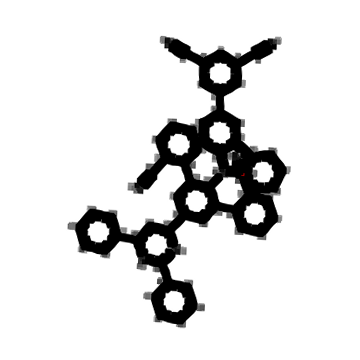 N#Cc1cc(C#N)cc(-c2ccc3c(c2)c2ccccc2n3-c2c(-c3ccccc3C#N)cc(-c3cc(-c4ccccc4)nc(-c4ccccc4)n3)cc2-c2ccccc2C#N)c1